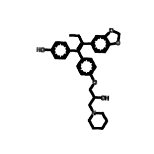 CCC(=C(c1ccc(O)cc1)c1ccc(OCC(O)CN2CCCCC2)cc1)c1ccc2c(c1)OCO2